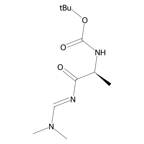 C[C@H](NC(=O)OC(C)(C)C)C(=O)N=CN(C)C